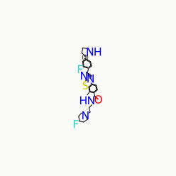 Cc1c(C(=O)NCCCN2CCC(F)CC2)ccc2c1sc1nc(-c3ccc([C@@H]4CCCN4)cc3F)cn12